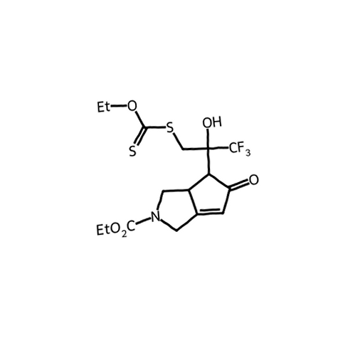 CCOC(=O)N1CC2=CC(=O)C(C(O)(CSC(=S)OCC)C(F)(F)F)C2C1